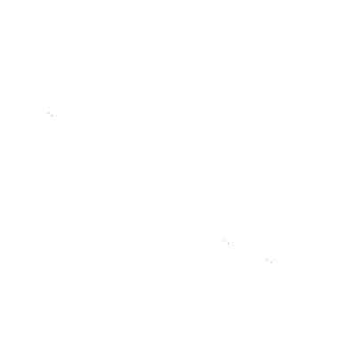 CCNC(=O)NC/C=C/COc1cccc(CN2CCCCC2)c1